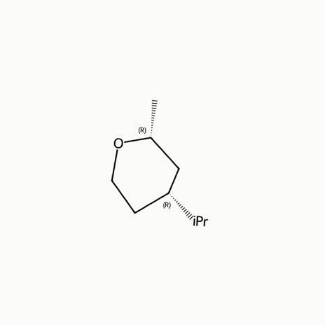 CC(C)[C@@H]1CCO[C@H](C)C1